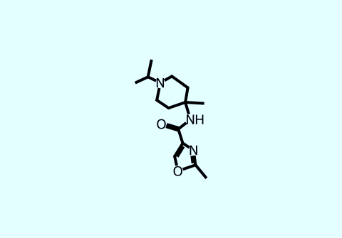 Cc1nc(C(=O)NC2(C)CCN(C(C)C)CC2)co1